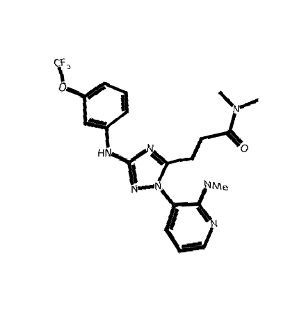 CNc1ncccc1-n1nc(Nc2cccc(OC(F)(F)F)c2)nc1CCC(=O)N(C)C